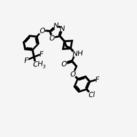 CC(F)(F)c1cccc(Oc2nnc(C34CC(NC(=O)COc5ccc(Cl)c(F)c5)(C3)C4)o2)c1